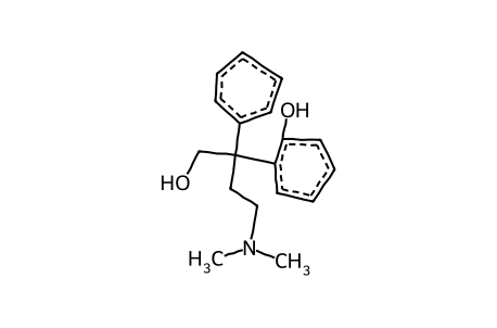 CN(C)CCC(CO)(c1ccccc1)c1ccccc1O